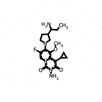 CCC(N)C1CCN(c2c(F)cn3c(=O)n(N)c(=O)c(C4CC4)c3c2OC)C1